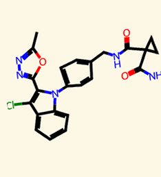 Cc1nnc(-c2c(Cl)c3ccccc3n2-c2ccc(CNC(=O)C3(C(N)=O)CC3)cc2)o1